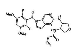 C=CC(=O)NC1COCC1Nc1ncc2c(ccn2C(=O)c2c(F)c(OC)cc(OC)c2F)n1